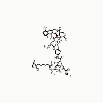 CC[C@@]1(OC(=O)N(C)CCN(C)C(=O)OCc2ccc(NC(=O)[C@H](CCCNC(N)=O)NC(=O)[C@@H](NC(=O)CCCCCN3C(=O)C=CC3=O)C(C)C)cc2)C(=O)OCc2c1cc1n(c2=O)Cc2cc3c(Br)cccc3nc2-1